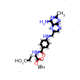 Cc1nc(N)c2nc(CNc3ccc(C(=O)N[C@@H](CCC(=O)O)C(=O)OC(C)(C)C)cc3)cnc2n1